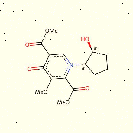 COC(=O)c1cn([C@H]2CCC[C@@H]2O)c(C(=O)OC)c(OC)c1=O